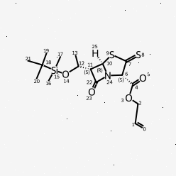 C=CCOC(=O)[C@H]1C(=S)S[C@@H]2[C@@H](C(C)O[Si](C)(C)C(C)(C)C)C(=O)N12